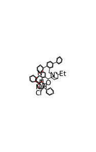 CCC1C[N+]2(Cc3cc(-c4ccccc4)ccc3-c3ccccc3)CCC1CC2[C@@H](Oc1nc(-c2ccccc2)nc(Cl)c1-c1ccccc1)c1ccnc2ccc(O)cc12